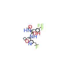 CC(=O)N[C@@H](Cc1cccc(C(F)(F)F)c1)[C@H](O)CN[C@H]1CC2(CCC2)Oc2ncc(CC(C)(C)F)cc21